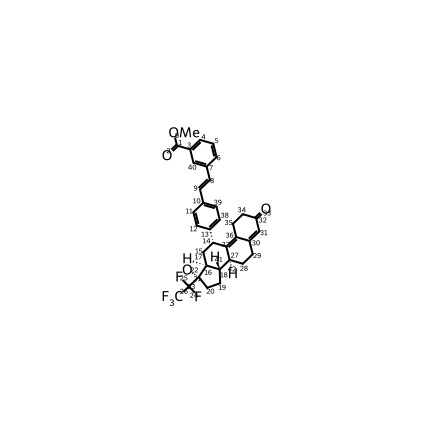 COC(=O)c1cccc(C=Cc2ccc([C@H]3C[C@@]4(C)[C@@H](CC[C@@]4(O)C(F)(F)C(F)(F)F)[C@@H]4CCC5=CC(=O)CCC5=C43)cc2)c1